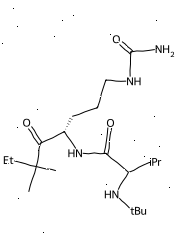 CCC(C)(C)C(=O)[C@H](CCCNC(N)=O)NC(=O)C(NC(C)(C)C)C(C)C